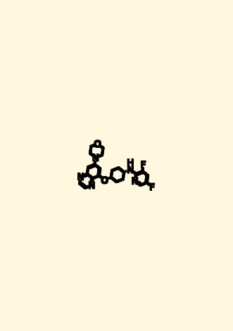 Fc1cnc(N[C@H]2CC[C@@H](Oc3cc(N4CCOCC4)cc4nccnc34)CC2)c(F)c1